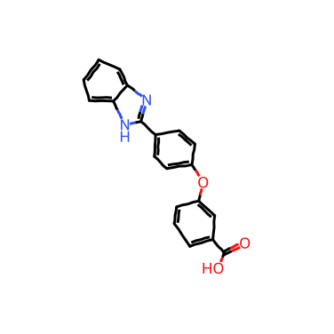 O=C(O)c1cccc(Oc2ccc(-c3nc4ccccc4[nH]3)cc2)c1